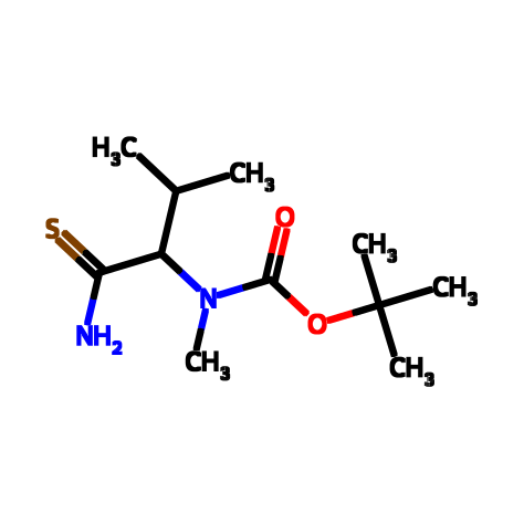 CC(C)C(C(N)=S)N(C)C(=O)OC(C)(C)C